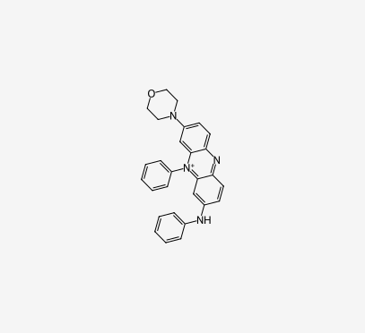 c1ccc(Nc2ccc3nc4ccc(N5CCOCC5)cc4[n+](-c4ccccc4)c3c2)cc1